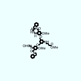 COC(=O)CCCNc1cc(COc2cc(N=NC=O)c(C(=O)N3CCc4ccccc43)cc2OC)cc(COc2cc3c(cc2OC)C(=O)N2c4ccccc4C[C@H]2C(=O)NN3)c1